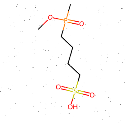 COP(C)(=O)CCCCS(=O)(=O)O